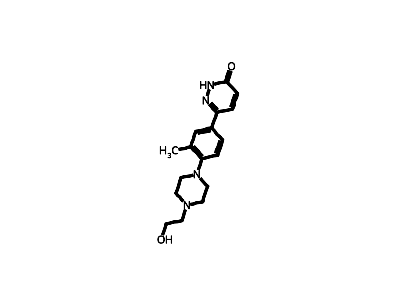 Cc1cc(-c2ccc(=O)[nH]n2)ccc1N1CCN(CCO)CC1